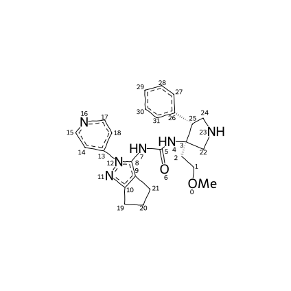 COCC[C@@]1(NC(=O)Nc2c3c(nn2-c2ccncc2)CCC3)CNC[C@H]1c1ccccc1